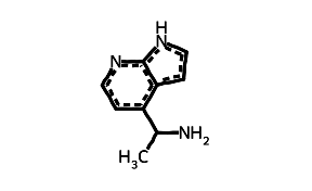 CC(N)c1ccnc2[nH]ccc12